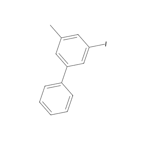 Cc1cc(I)cc(-c2ccccc2)c1